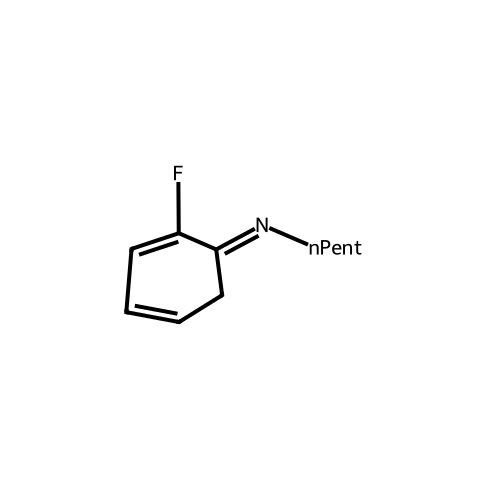 CCCCCN=C1CC=CC=C1F